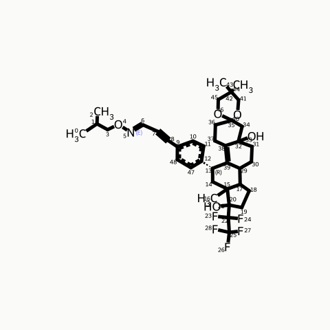 CC(C)CO/N=C/C#Cc1ccc([C@H]2CC3(C)C(CCC3(O)C(F)(F)C(F)(F)F)C3CCC4(O)CC5(CCC4=C32)OCC(C)(C)CO5)cc1